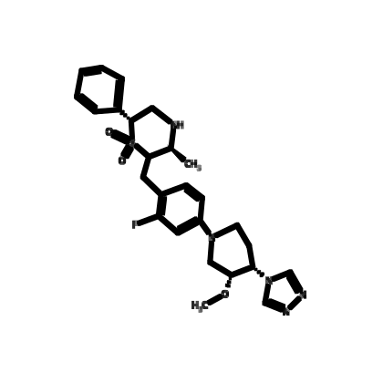 CO[C@@H]1CN(c2ccc(CC3[C@H](C)NC[C@@H](c4ccccc4)S3(=O)=O)c(F)c2)CC[C@@H]1n1cnnc1